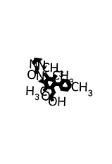 Cc1ccc(-c2c(C)c3c(c(C)c2CC(=O)O)CN(C(=O)c2nccn2C)C3)cc1